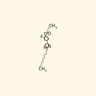 CCCCCCCCCCCc1ncc(-c2ccc(OC(=O)CCCC)c(F)c2)cn1